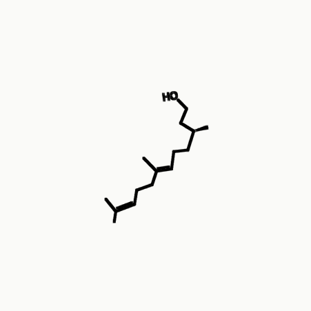 CC(C)=CCC/C(C)=C/CC[C@H](C)CCO